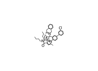 CCCCN(CCCC)C(=O)c1cc(C)n(-c2ccc(-c3cccc(Cl)c3)cc2C(=O)N2Cc3ccccc3C[C@H]2CO)n1